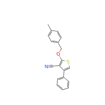 Cc1ccc(COc2scc(-c3ccccc3)c2C#N)cc1